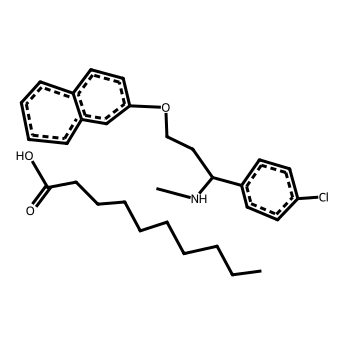 CCCCCCCCCC(=O)O.CNC(CCOc1ccc2ccccc2c1)c1ccc(Cl)cc1